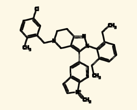 C=[N+]1C=Cc2cc(-c3c4c(nn3-c3c(CC)cccc3CC)CCN(Cc3cc(Cl)ccc3C)C4)ccc21